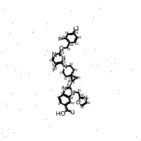 O=C(O)c1ccc2nc([C@@H]3CC34CCN(c3nc(OCc5ccc(Cl)cc5F)ncc3F)CC4)n(Cc3ncco3)c2c1